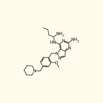 CCCC(N)Nc1nc(N)nc2cnn(Cc3ccc(CN4CCCCC4)cc3OC)c12